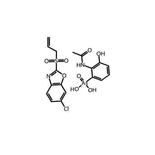 C=CCS(=O)(=O)c1nc2ccc(Cl)cc2o1.CC(=O)Nc1c(O)cccc1[As](=O)(O)O